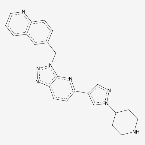 c1cnc2ccc(Cn3nnc4ccc(-c5cnn(C6CCNCC6)c5)nc43)cc2c1